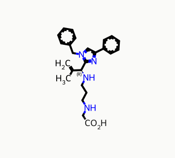 C=C(C)[C@@H](NCCCNCC(=O)O)c1nc(-c2ccccc2)cn1Cc1ccccc1